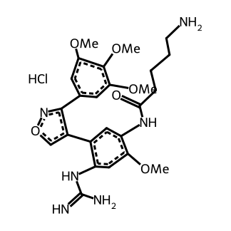 COc1cc(NC(=N)N)c(-c2conc2-c2cc(OC)c(OC)c(OC)c2)cc1NC(=O)CCCCN.Cl